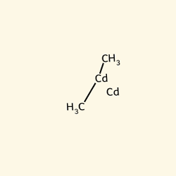 [CH3][Cd][CH3].[Cd]